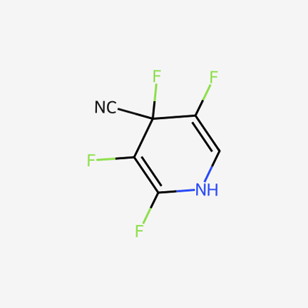 N#CC1(F)C(F)=CNC(F)=C1F